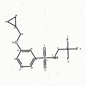 O=S(=O)(NCC(F)(F)F)c1cncc(OCC2CC2)c1